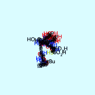 CC(C)(C)C(=O)CN1C(=O)[C@H](NC(=O)Nc2cccc(C(=O)NCCCCCCCC(=O)N[C@@H](CCC(=O)O)C(=O)N[C@@H](CCC(=O)NC[C@@H](O)[C@H](O)[C@@H](O)[C@@H](O)CO)C(=O)N[C@@H](CCC(=O)O)C(=O)N[C@@H](CCC(=O)NC[C@@H](O)[C@H](O)[C@@H](O)[C@@H](O)CO)C(=O)NC[C@H](N)C(=O)N[C@@H](CC(=O)O)C(=O)N[C@@H](CS)C(=O)O)c2)CN(C2CCCCC2)c2ccccc21